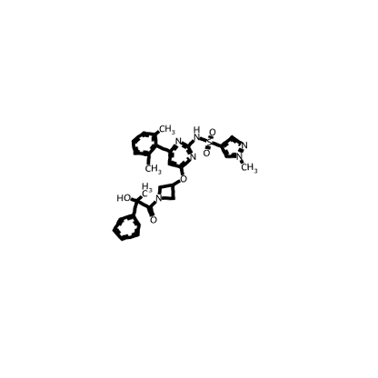 Cc1cccc(C)c1-c1cc(OC2CN(C(=O)C(C)(O)c3ccccc3)C2)nc(NS(=O)(=O)c2cnn(C)c2)n1